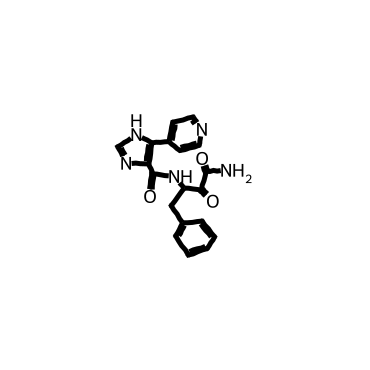 NC(=O)C(=O)C(Cc1ccccc1)NC(=O)c1nc[nH]c1-c1ccncc1